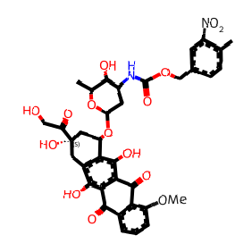 COc1cccc2c1C(=O)c1c(O)c3c(c(O)c1C2=O)C[C@@](O)(C(=O)CO)CC3OC1CC(NC(=O)OCc2ccc(C)c([N+](=O)[O-])c2)C(O)C(C)O1